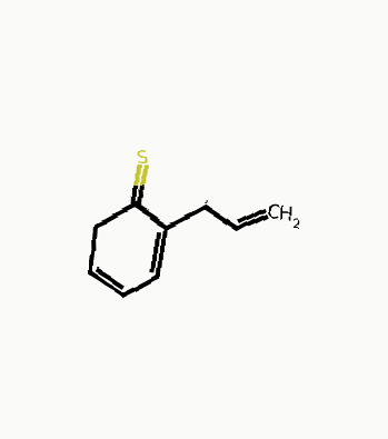 C=C[CH]C1=CC=CCC1=S